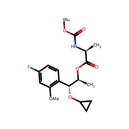 COc1cc(F)ccc1[C@@H](OC1CC1)[C@H](C)OC(=O)[C@H](C)NC(=O)OC(C)(C)C